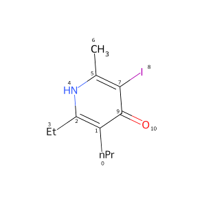 CCCc1c(CC)[nH]c(C)c(I)c1=O